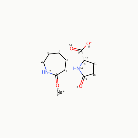 O=C1CCCCCN1.O=C1CC[C@@H](C(=O)[O-])N1.[Na+]